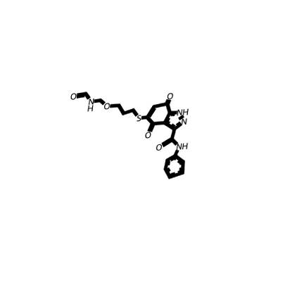 O=CNCOCCCSC1=CC(=O)c2[nH]nc(C(=O)Nc3ccccc3)c2C1=O